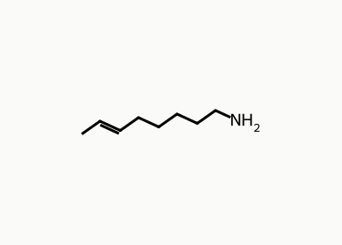 CC=CCCCCCN